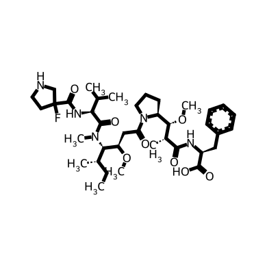 CC[C@H](C)[C@@H]([C@@H](CC(=O)N1CCC[C@H]1[C@H](OC)[C@@H](C)C(=O)N[C@@H](Cc1ccccc1)C(=O)O)OC)N(C)C(=O)[C@@H](NC(=O)C1(F)CCNC1)C(C)C